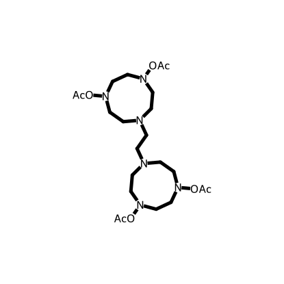 CC(=O)ON1CCN(CCN2CCN(OC(C)=O)CCN(OC(C)=O)CC2)CCN(OC(C)=O)CC1